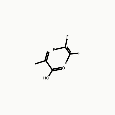 C=C(C)C(=O)O.FC(F)=C(F)F